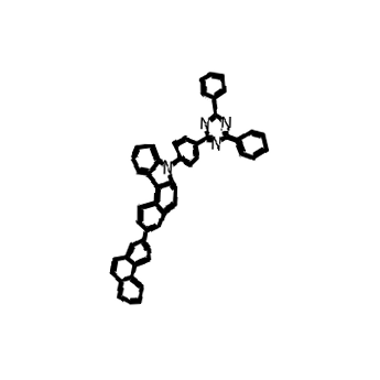 c1ccc(-c2nc(-c3ccccc3)nc(-c3ccc(-n4c5ccccc5c5c6ccc(-c7ccc8c(ccc9ccccc98)c7)cc6ccc54)cc3)n2)cc1